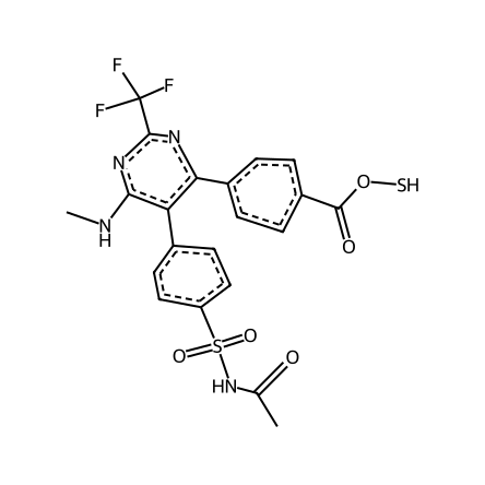 CNc1nc(C(F)(F)F)nc(-c2ccc(C(=O)OS)cc2)c1-c1ccc(S(=O)(=O)NC(C)=O)cc1